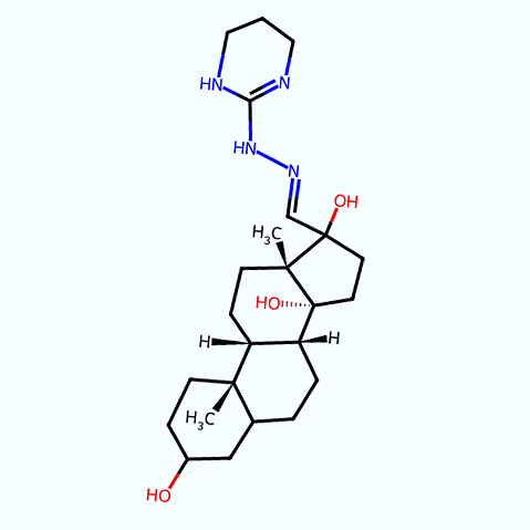 C[C@]12CCC(O)CC1CC[C@@H]1[C@H]2CC[C@]2(C)C(O)(/C=N/NC3=NCCCN3)CC[C@@]12O